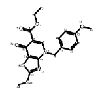 CCOC(=O)c1cn(Cc2ccc(OC)cc2)c2nc(SC)sc2c1=O